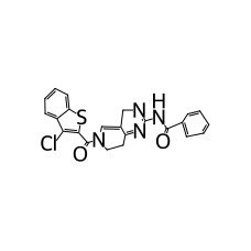 O=C(NC1=NCC2=CN(C(=O)c3sc4ccccc4c3Cl)CCC2=N1)c1ccccc1